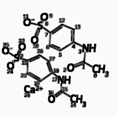 CC(=O)Nc1ccc(S(=O)(=O)[O-])cc1.CC(=O)Nc1ccc(S(=O)(=O)[O-])cc1.[Ca+2]